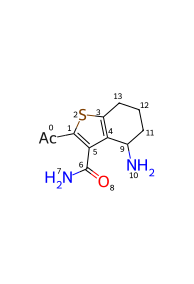 CC(=O)c1sc2c(c1C(N)=O)C(N)CCC2